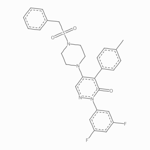 Cc1ccc(-c2c(N3CCN(S(=O)(=O)Cc4ccccc4)CC3)cnn(-c3cc(F)cc(F)c3)c2=O)cc1